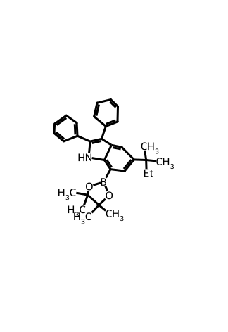 CCC(C)(C)c1cc(B2OC(C)(C)C(C)(C)O2)c2[nH]c(-c3ccccc3)c(-c3ccccc3)c2c1